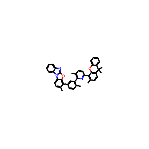 Cc1ccc(-c2c(C)ccc3c2oc2nc4ccccc4n23)cc1-c1nc(-c2c(C)ccc3c2Oc2ccccc2C3(C)C)ccc1C